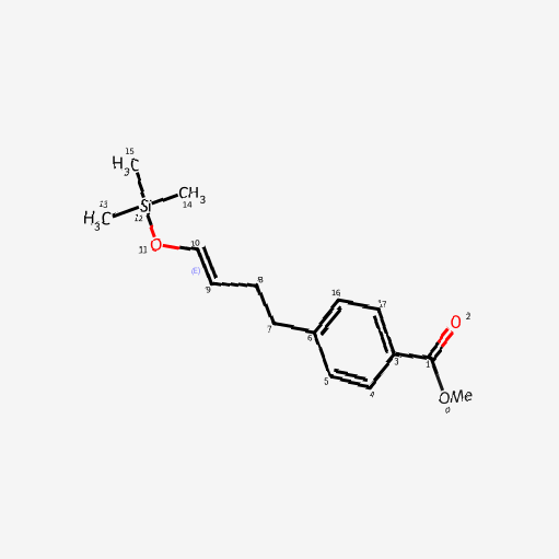 COC(=O)c1ccc(CC/C=C/O[Si](C)(C)C)cc1